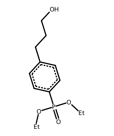 CCOP(=O)(OCC)c1ccc(CCCO)cc1